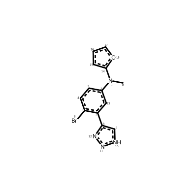 CN(c1ccc(Br)c(-c2c[nH]nn2)c1)c1ccco1